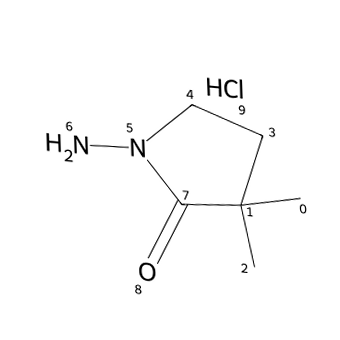 CC1(C)CCN(N)C1=O.Cl